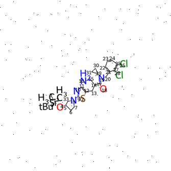 CC(C)(C)[Si](C)(C)OC1CCN(c2ncc(CC(CN)C(=O)N(Cc3cccc(Cl)c3Cl)C3CC3)s2)C1